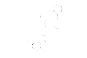 CC(C)(C)OC(=O)N[C@H](CC(=O)Nc1cc(Cl)ccc1N)C(=O)OCc1ccccc1